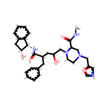 CC(C)(C)NC(=O)C1CN(Cc2cnco2)CCN1CC(O)CC(Cc1ccccc1)C(=O)N[C@H]1c2ccccc2C[C@H]1O